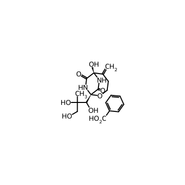 C=C1CCO[C@]2(C(O)C(C)(O)CO)NC(=O)[C@@]1(O)NC2=O.O=C(O)c1ccccc1